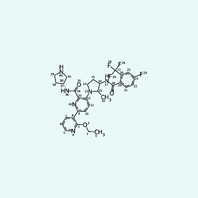 CCOc1ncccc1-c1ccc(N2CCC(NC(=O)c3ccc(F)cc3C(F)(F)F)C2C)c(C(=O)N[C@@H]2CCNC2)n1